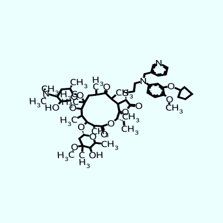 CC[C@@H]1OC(=O)C(C)C(O[C@H]2CC(C)(OC)C(O)C(C)O2)C(C)C(O[C@H]2O[C@H](C)CC(N(C)C)C2O)C(C)(OC)CC(C)C(=O)C(C)C2[C@H](SCCN(Cc3cccnc3)c3ccc(OC)c(OC4CCCC4)c3)C(=O)OC21C